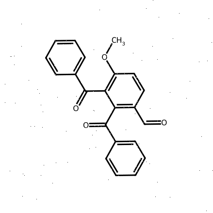 COc1ccc(C=O)c(C(=O)c2ccccc2)c1C(=O)c1ccccc1